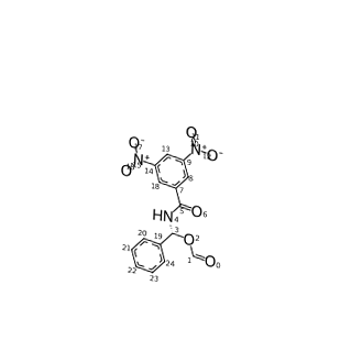 O=CO[C@@H](NC(=O)c1cc([N+](=O)[O-])cc([N+](=O)[O-])c1)c1ccccc1